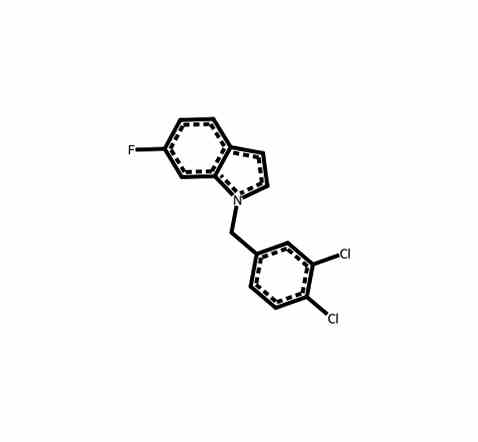 Fc1ccc2ccn(Cc3ccc(Cl)c(Cl)c3)c2c1